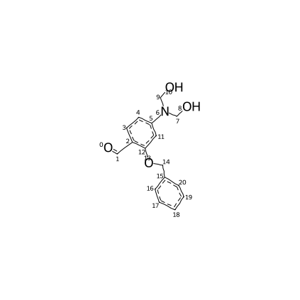 O=Cc1ccc(N(CO)CO)cc1OCc1ccccc1